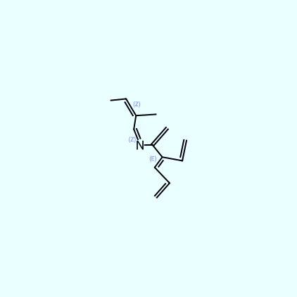 C=C/C=C(\C=C)C(=C)/N=C\C(C)=C/C